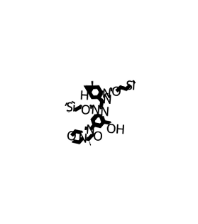 C[C@@H](C(=O)N(C)c1cc(CO)c2nc(-c3nn(COCC[Si](C)(C)C)c4c3C[C@@H]3C[C@]3(C)C4)n(COCC[Si](C)(C)C)c2c1)N1CCOCC1